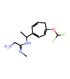 C/N=C(/CN)NC(C)C1=CC=C(OC(F)F)CC=C1